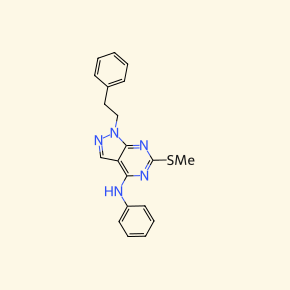 CSc1nc(Nc2ccccc2)c2cnn(CCc3ccccc3)c2n1